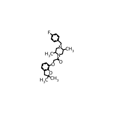 CC1CN(C(=O)COc2cccc3c2OC(C)(C)C3)C(C)CN1Cc1ccc(F)cc1